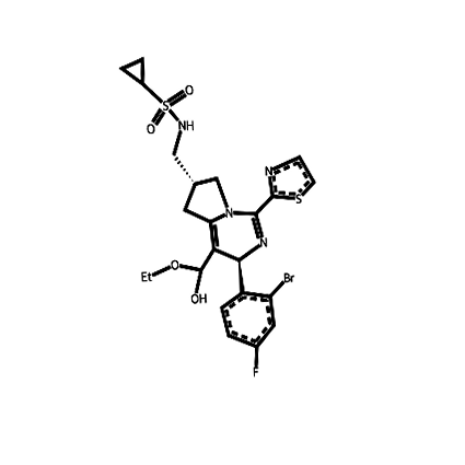 CCOC(O)C1=C2C[C@H](CNS(=O)(=O)C3CC3)CN2C(c2nccs2)=N[C@H]1c1ccc(F)cc1Br